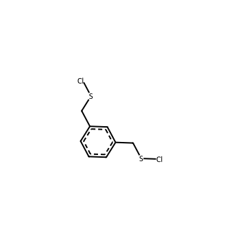 ClSCc1cccc(CSCl)c1